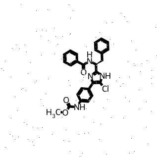 COC(=O)Nc1ccc(-c2nc([C@H](Cc3ccccc3)NC(=O)c3ccccc3)[nH]c2Cl)cc1